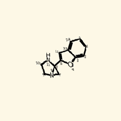 c1ccc2oc(C34CN3CCN4)cc2c1